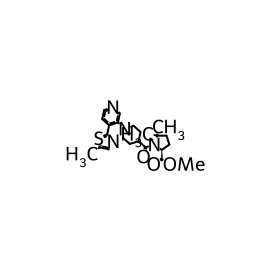 COC(=O)[C@@H]1CCC(C)(C)N1C(=O)C1CCN(c2cnccc2-c2ncc(C)s2)CC1